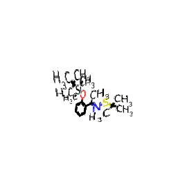 C/C(=N\SC(C)(C)C)c1ccccc1O[Si](C)(C)C(C)(C)C